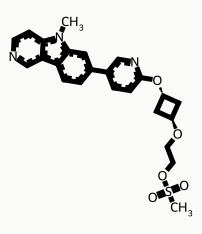 Cn1c2ccncc2c2ccc(-c3ccc(O[C@H]4C[C@H](OCCOS(C)(=O)=O)C4)nc3)cc21